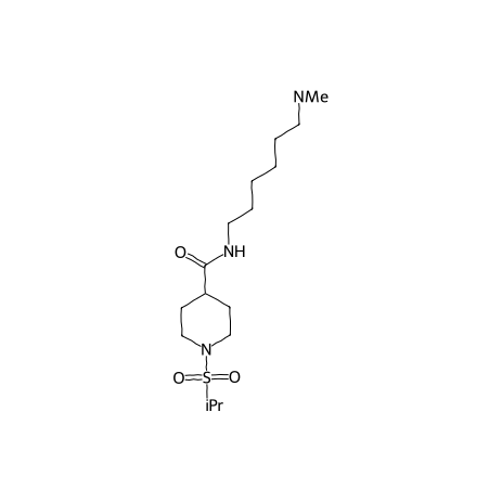 CNCCCCCCNC(=O)C1CCN(S(=O)(=O)C(C)C)CC1